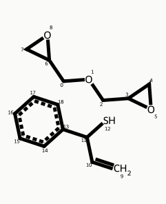 C(OCC1CO1)C1CO1.C=CC(S)c1ccccc1